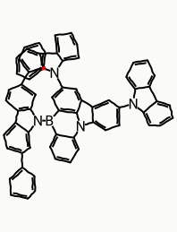 c1ccc(-c2ccc3c4ccc(-c5ccccc5)cc4n(B4c5ccccc5-n5c6ccc(-n7c8ccccc8c8ccccc87)cc6c6cc(-n7c8ccccc8c8ccccc87)cc4c65)c3c2)cc1